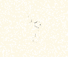 CCCC(O)c1cncc(CCC2CCCCC2)c1